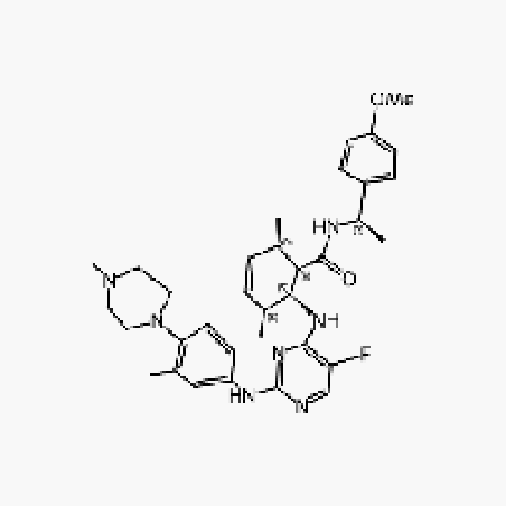 COc1ccc([C@@H](C)NC(=O)[C@H]2[C@@H](Nc3nc(Nc4ccc(N5CCN(C)CC5)c(C)c4)ncc3F)[C@@H](C)C=C[C@H]2C)cc1